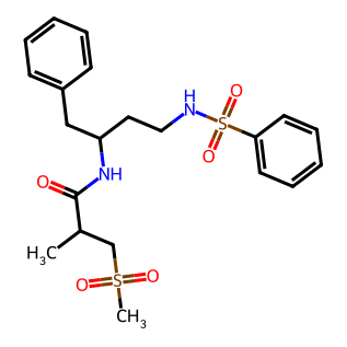 CC(CS(C)(=O)=O)C(=O)NC(CCNS(=O)(=O)c1ccccc1)Cc1ccccc1